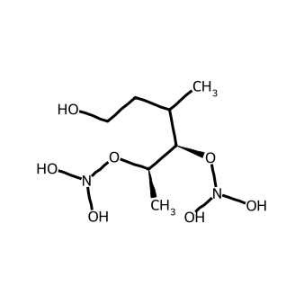 CC(CCO)[C@@H](ON(O)O)[C@@H](C)ON(O)O